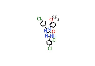 O=c1[nH]c(-c2ccc(Cl)cc2Cl)nc2nc(-c3ccc(Cl)cc3)n(-c3cccc(OC(F)(F)F)c3)c12